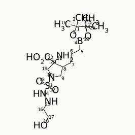 CC1(C)OB(CCCC2CN(S(=O)(=O)NNCCO)CC2(N)C(=O)O)OC1(C)C